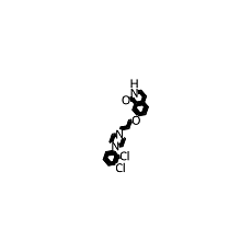 O=C1NCCc2ccc(OCCCN3CCN(c4cccc(Cl)c4Cl)CC3)cc21